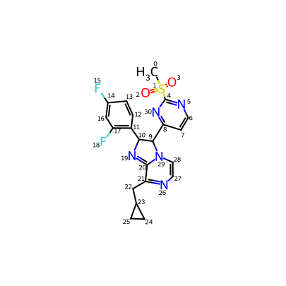 CS(=O)(=O)c1nccc(C2C(c3ccc(F)cc3F)N=C3C(CC4CC4)=NC=CN32)n1